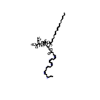 CC/C=C\C/C=C\C/C=C\C/C=C\C/C=C\C/C=C\CCC(=O)OC[C@H](COP(=O)(O)OC[C@H](N)C(=O)O)OC(=O)CCCCCCCCCCCCCCCC